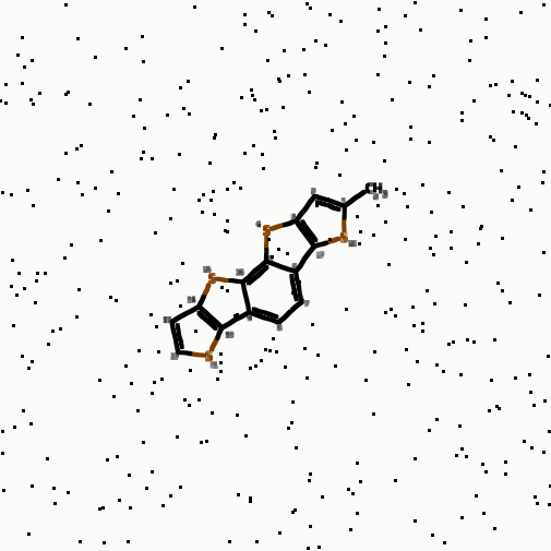 Cc1cc2sc3c(ccc4c5sccc5sc43)c2s1